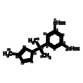 CCCCCCc1cc(CCCCCC)cc([Si](C)(C)[C]2C=CC(C)=C2)c1